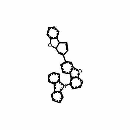 C1=CC2c3ccccc3OC2C=C1c1ccc2c(c1)oc1cccc(-n3c4ccccc4c4ccccc43)c12